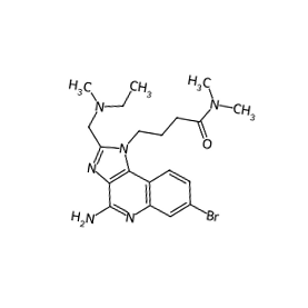 CCN(C)Cc1nc2c(N)nc3cc(Br)ccc3c2n1CCCC(=O)N(C)C